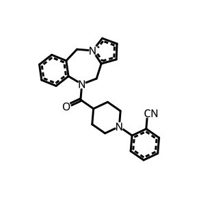 N#Cc1ccccc1N1CCC(C(=O)N2Cc3cccn3Cc3ccccc32)CC1